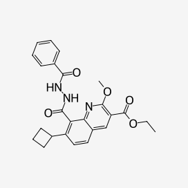 CCOC(=O)c1cc2ccc(C3CCC3)c(C(=O)NNC(=O)c3ccccc3)c2nc1OC